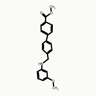 COC(=O)c1ccc(-c2ccc(CNc3cccc(OC)c3)cc2)cc1